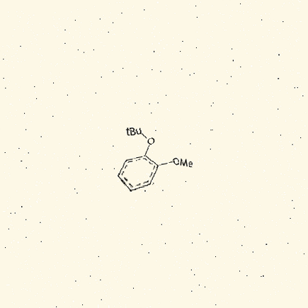 COc1[c]cccc1OC(C)(C)C